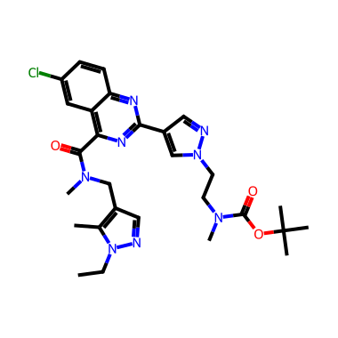 CCn1ncc(CN(C)C(=O)c2nc(-c3cnn(CCN(C)C(=O)OC(C)(C)C)c3)nc3ccc(Cl)cc23)c1C